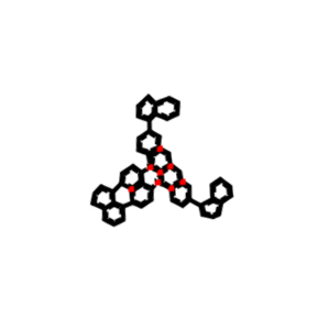 c1ccc(N(c2ccc(-c3cccc4ccccc34)cc2)c2ccc(-c3cccc4cccc(-c5ccc(N(c6ccccc6)c6ccc(-c7cccc8ccccc78)cc6)cc5)c34)cc2)cc1